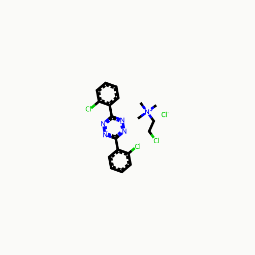 C[N+](C)(C)CCCl.Clc1ccccc1-c1nnc(-c2ccccc2Cl)nn1.[Cl-]